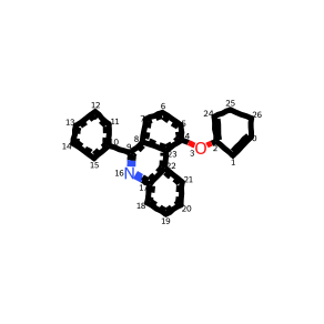 C1=CC(Oc2cccc3c(-c4ccccc4)nc4ccccc4c23)=CCC1